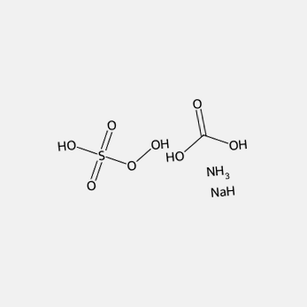 N.O=C(O)O.O=S(=O)(O)OO.[NaH]